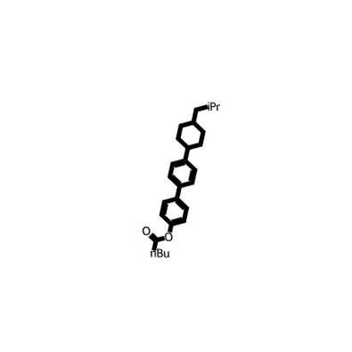 CCCCC(=O)Oc1ccc(-c2ccc(C3CCC(CC(C)C)CC3)cc2)cc1